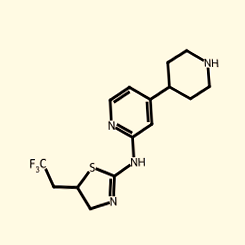 FC(F)(F)CC1CN=C(Nc2cc(C3CCNCC3)ccn2)S1